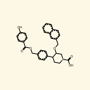 O=C(OCc1ccc(C2CCN(C(=O)O)CC2OCc2ccc3ccccc3c2)cc1)c1ccc(O)cc1